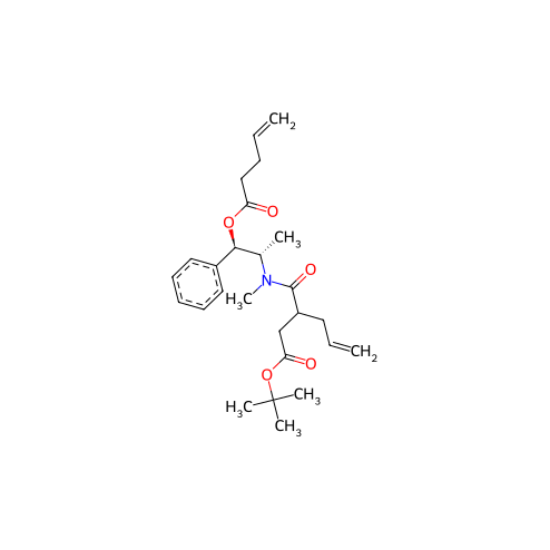 C=CCCC(=O)O[C@H](c1ccccc1)[C@H](C)N(C)C(=O)C(CC=C)CC(=O)OC(C)(C)C